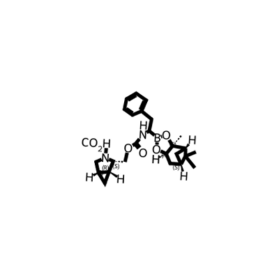 CC1(C)[C@@H]2C[C@H]3OB(C(Cc4ccccc4)NC(=O)OC[C@@H]4[C@@H]5C[C@@H]5CN4C(=O)O)O[C@@]3(C)[C@H]1C2